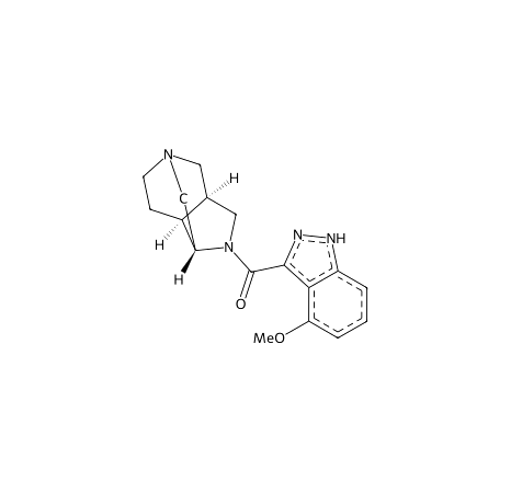 COc1cccc2[nH]nc(C(=O)N3C[C@@H]4CN5CC[C@@H]4[C@@H]3C5)c12